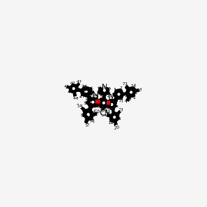 Cc1cc(C)c(-c2ccc3c(c2)c2cc(-c4c(C)cc(C)cc4C)ccc2n3-c2cncc(-n3c4ccc(-c5c(C)cc(C)cc5C)cc4c4cc(-c5c(C)cc(C)cc5C)ccc43)c2-c2ccc(C#N)cc2)c(C)c1